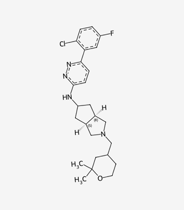 CC1(C)CC(CN2C[C@H]3CC(Nc4ccc(-c5cc(F)ccc5Cl)nn4)C[C@H]3C2)CCO1